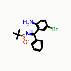 CC(C)(C)[S+]([O-])/N=C(\c1ccccc1)c1cc(Br)ccc1N